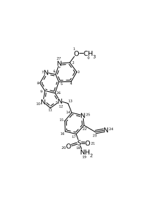 COc1ccc2c(ncc3ncn(Cc4ccc(S(N)(=O)=O)c(C#N)n4)c32)n1